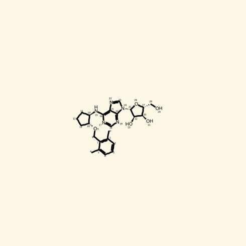 Cc1cccc(C)c1CO[C@@H]1CCC[C@H]1Nc1ncnc2c1ncn2[C@@H]1O[C@H](CO)[C@@H](O)[C@H]1O